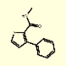 CNC(=O)c1sccc1-c1ccccc1